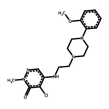 COc1ccccc1N1CCN(CCNc2cnn(C)c(=O)c2Cl)CC1